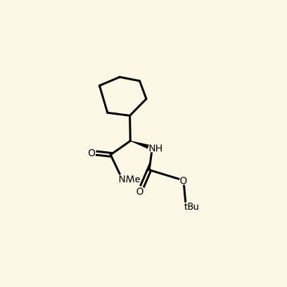 CNC(=O)[C@H](NC(=O)OC(C)(C)C)C1CCCCC1